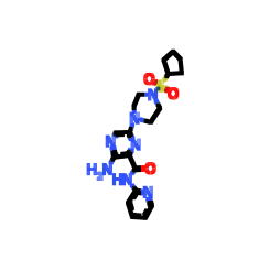 Nc1ncc(N2CCN(S(=O)(=O)C3CCCC3)CC2)nc1C(=O)Nc1ccccn1